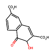 O=C(O)C1=Cc2cc(C(=O)O)ccc2C(=O)C1O